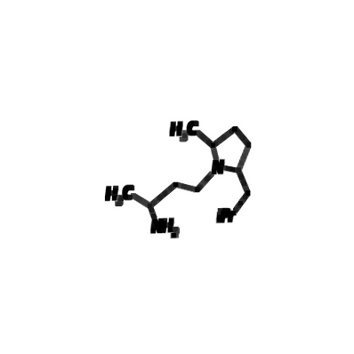 CC(C)CC1CCC(C)N1CCC(C)N